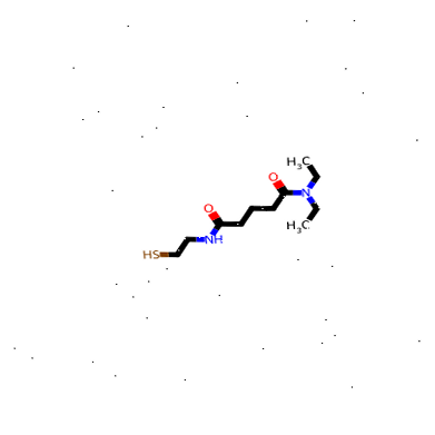 CCN(CC)C(=O)CCCC(=O)NCCS